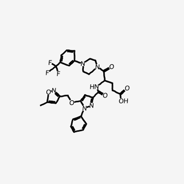 Cc1cc(COc2cc(C(=O)NC(CCC(=O)O)C(=O)N3CCN(c4cccc(C(F)(F)F)c4)CC3)nn2-c2ccccc2)no1